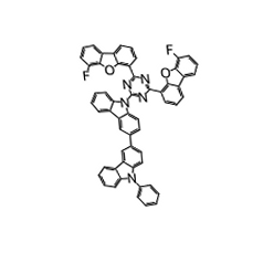 Fc1cccc2c1oc1c(-c3nc(-c4cccc5c4oc4c(F)cccc45)nc(-n4c5ccccc5c5cc(-c6ccc7c(c6)c6ccccc6n7-c6ccccc6)ccc54)n3)cccc12